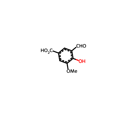 COc1cc(C(=O)O)cc(C=O)c1O